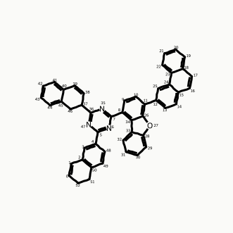 C1=Cc2cc(-c3nc(-c4ccc(-c5ccc6ccc7ccccc7c6c5)c5oc6ccccc6c45)nc(C4C=Cc5ccccc5C4)n3)ccc2CC1